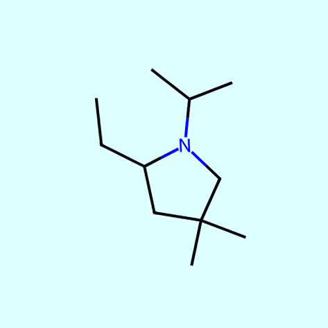 CCC1CC(C)(C)CN1C(C)C